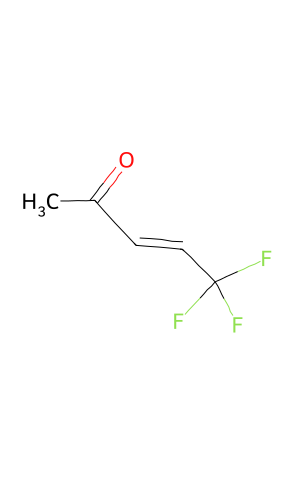 CC(=O)C=CC(F)(F)F